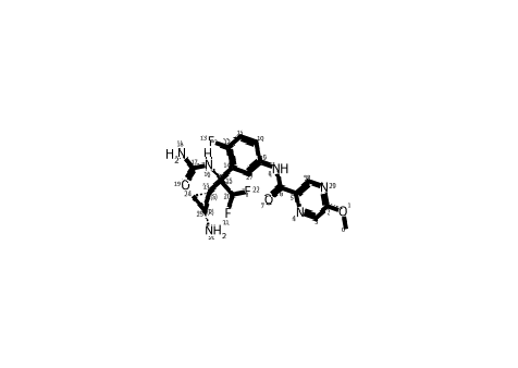 COc1cnc(C(=O)Nc2ccc(F)c([C@](NC(N)=O)(C(F)F)[C@H]3C[C@H]3N)c2)cn1